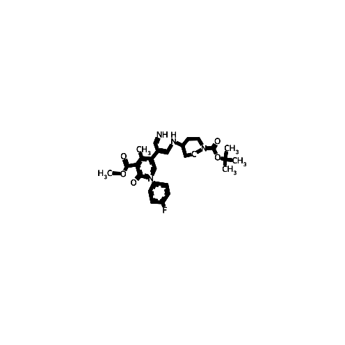 COC(=O)c1c(C)c(/C(C=N)=C/NC2CCN(C(=O)OC(C)(C)C)CC2)cn(-c2ccc(F)cc2)c1=O